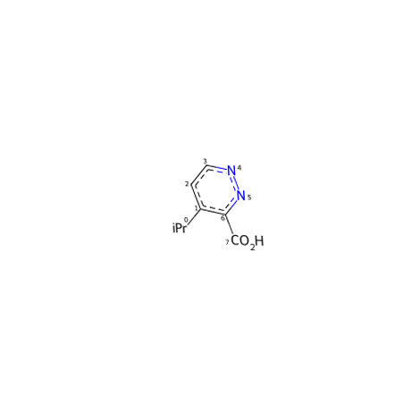 CC(C)c1ccnnc1C(=O)O